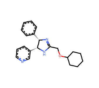 c1ccc([C@@H]2N=C(COC3CCCCC3)N[C@@H]2c2cccnc2)cc1